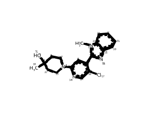 Cn1c(-c2cc(N3CCC(C)(O)CC3)ncc2Cl)nc2ccccc21